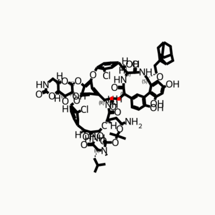 CC(C)C[C@H](C(=O)N[C@H]1C(=O)C[C@@H](CC(N)=O)C(=O)N[C@H]2C(=O)C[C@H]3C(=O)N[C@H](C(=O)N[C@H](C(=O)CC4C5CC6CC(C5)CC4C6)c4cc(O)cc(O)c4-c4cc3ccc4O)[C@H](O)c3ccc(c(Cl)c3)Oc3cc2cc(c3O[C@@H]2O[C@@H]3CNC(=O)O[C@H]3[C@H](O)[C@H]2O)Oc2ccc(cc2Cl)[C@H]1O)N(C)C(=O)OC(C)(C)C